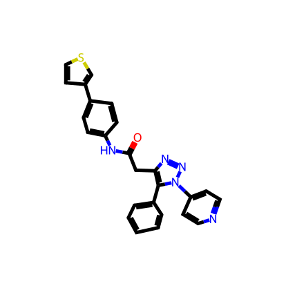 O=C(Cc1nnn(-c2ccncc2)c1-c1ccccc1)Nc1ccc(-c2ccsc2)cc1